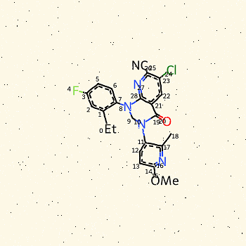 CCc1cc(F)ccc1N1CN(c2ccc(OC)nc2C)C(=O)c2cc(Cl)c(C#N)nc21